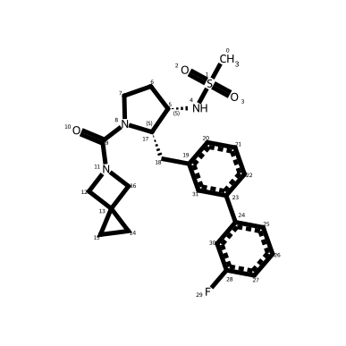 CS(=O)(=O)N[C@H]1CCN(C(=O)N2CC3(CC3)C2)[C@H]1Cc1cccc(-c2cccc(F)c2)c1